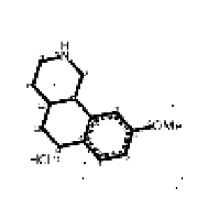 COc1ccc2c(c1)C1CNCCC1CC2.Cl